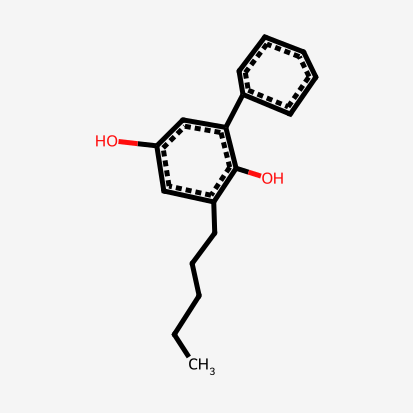 CCCCCc1cc(O)cc(-c2ccccc2)c1O